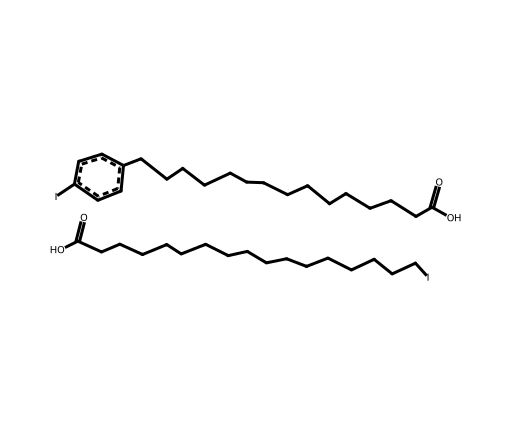 O=C(O)CCCCCCCCCCCCCCCCI.O=C(O)CCCCCCCCCCCCCCc1ccc(I)cc1